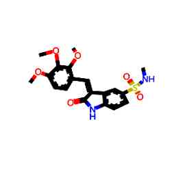 CNS(=O)(=O)c1ccc2c(c1)C(=Cc1ccc(OC)c(OC)c1OC)C(=O)N2